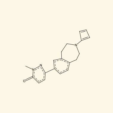 Cn1nc(-c2ccc3c(c2)CCN(C2=CC=C2)CC3)ccc1=O